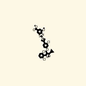 COC(=O)c1cc(OC)c2nc(N3CC(c4ccc(OCc5c(-c6c(Cl)cccc6Cl)noc5C5CC5)cc4Cl)C3)sc2c1